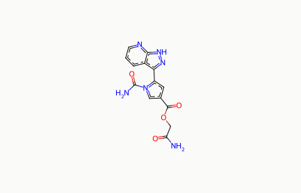 NC(=O)COC(=O)c1cc(-c2n[nH]c3ncccc23)n(C(N)=O)c1